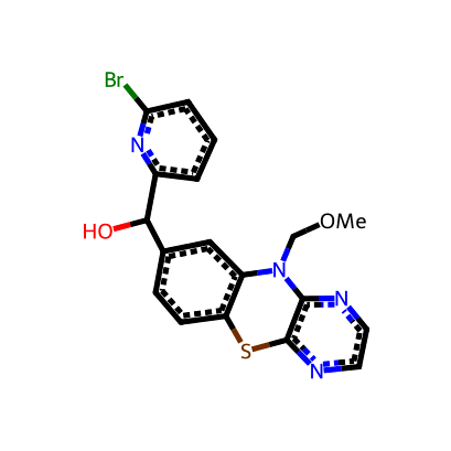 COCN1c2cc(C(O)c3cccc(Br)n3)ccc2Sc2nccnc21